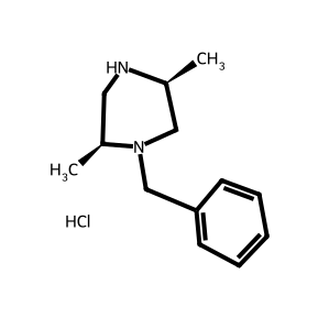 C[C@H]1CN(Cc2ccccc2)[C@@H](C)CN1.Cl